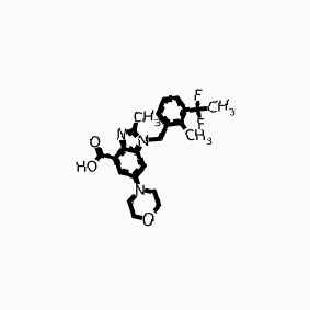 Cc1c(Cn2c(C)nc3c(C(=O)O)cc(N4CCOCC4)cc32)cccc1C(C)(F)F